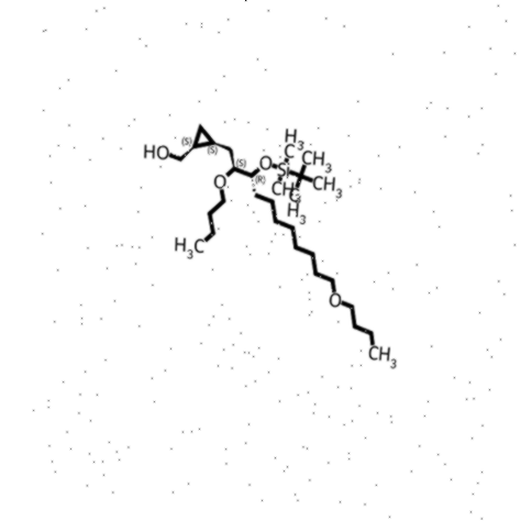 CCCCOCCCCCCCC[C@@H](O[Si](C)(C)C(C)(C)C)[C@H](C[C@@H]1C[C@@H]1CO)OCCCC